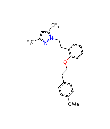 COc1ccc(CCOc2ccccc2CCn2nc(C(F)(F)F)cc2C(F)(F)F)cc1